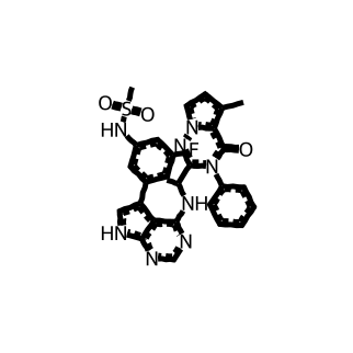 Cc1ccn2nc(C(C)Nc3ncnc4[nH]cc(-c5cc(F)cc(NS(C)(=O)=O)c5)c34)n(-c3ccccc3)c(=O)c12